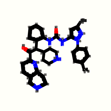 Cc1ccc(-n2nc(C(C)(C)C)cc2NC(=O)Nc2ccccc2C(C(=O)c2ccc3cnccc3n2)C2CCNCC2)cc1